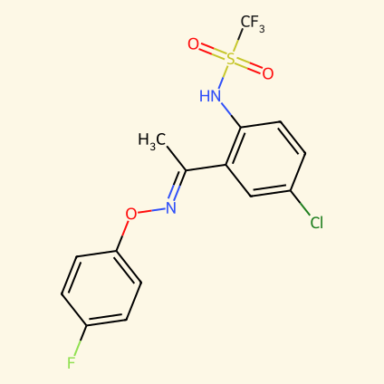 C/C(=N\Oc1ccc(F)cc1)c1cc(Cl)ccc1NS(=O)(=O)C(F)(F)F